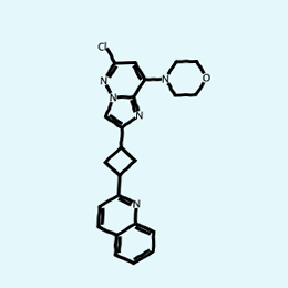 Clc1cc(N2CCOCC2)c2nc(C3CC(c4ccc5ccccc5n4)C3)cn2n1